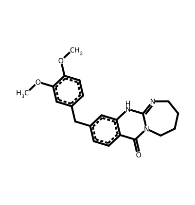 COc1ccc(Cc2ccc3c(c2)NC2=NCCCCN2C3=O)cc1OC